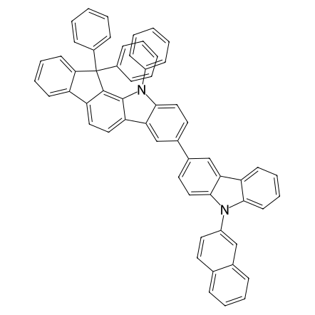 c1ccc(-n2c3ccc(-c4ccc5c(c4)c4ccccc4n5-c4ccc5ccccc5c4)cc3c3ccc4c(c32)C(c2ccccc2)(c2ccccc2)c2ccccc2-4)cc1